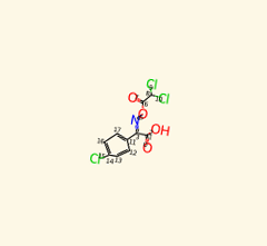 O=C(O)C(=NOC(=O)C(Cl)Cl)c1ccc(Cl)cc1